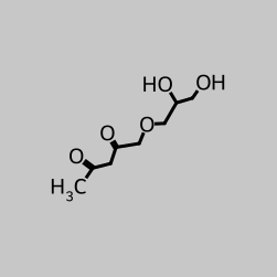 CC(=O)CC(=O)COCC(O)CO